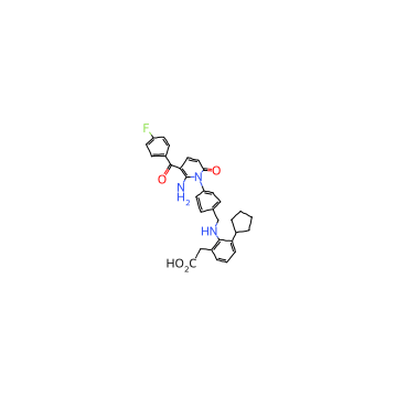 Nc1c(C(=O)c2ccc(F)cc2)ccc(=O)n1-c1ccc(CNc2c(CC(=O)O)cccc2C2CCCC2)cc1